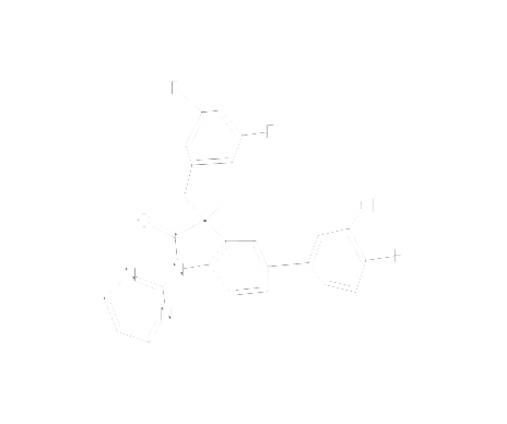 CC1(Cc2cc(F)cc(F)c2)C(=O)N(c2ncccn2)c2ccc(-c3ccc(F)c(Cl)c3)cc21